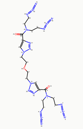 [N-]=[N+]=NCCN(CCN=[N+]=[N-])C(=O)c1cn(CCOCCn2cc(C(=O)N(CCN=[N+]=[N-])CCN=[N+]=[N-])nn2)nn1